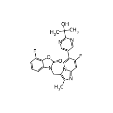 Cc1nc2cc(F)c(-c3cnc(C(C)(C)O)nc3)cn2c1Cn1c(=O)oc2c(F)cccc21